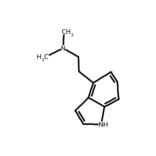 CN(C)CCc1[c]ccc2[nH]ccc12